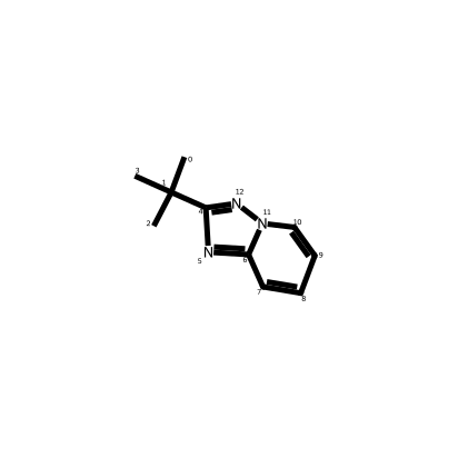 CC(C)(C)c1nc2ccccn2n1